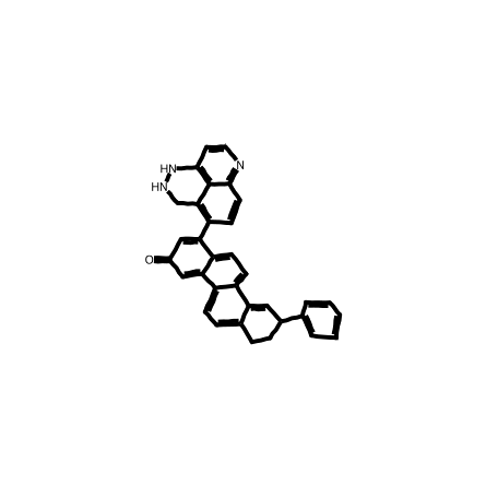 O=C1C=C(c2ccc3n[c]cc4c3c2CNN4)c2ccc3c4c(ccc3c2=C1)CCC(c1ccccc1)C=4